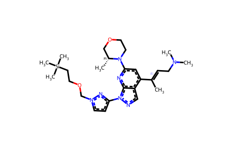 C/C(=C\CN(C)C)c1cc(N2CCOC[C@H]2C)nc2c1cnn2-c1ccn(COCC[Si](C)(C)C)n1